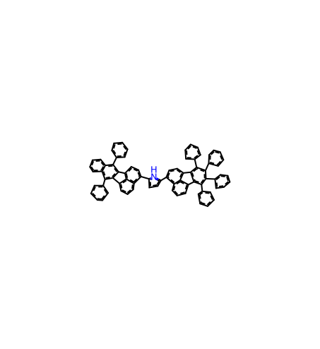 c1ccc(-c2c(-c3ccccc3)c(-c3ccccc3)c3c(c2-c2ccccc2)-c2cccc4c(-c5ccc(-c6ccc7c8c(cccc68)-c6c-7c(-c7ccccc7)c7ccccc7c6-c6ccccc6)[nH]5)ccc-3c24)cc1